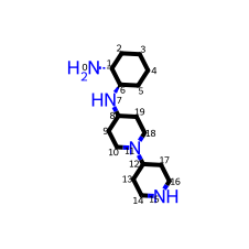 N[C@@H]1CCCC[C@H]1NC1CCN(C2CCNCC2)CC1